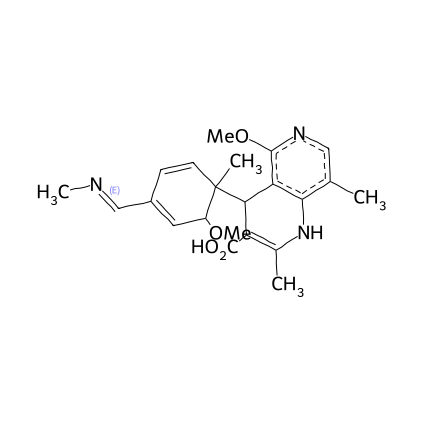 C/N=C/C1=CC(OC)C(C)(C2C(C(=O)O)=C(C)Nc3c(C)cnc(OC)c32)C=C1